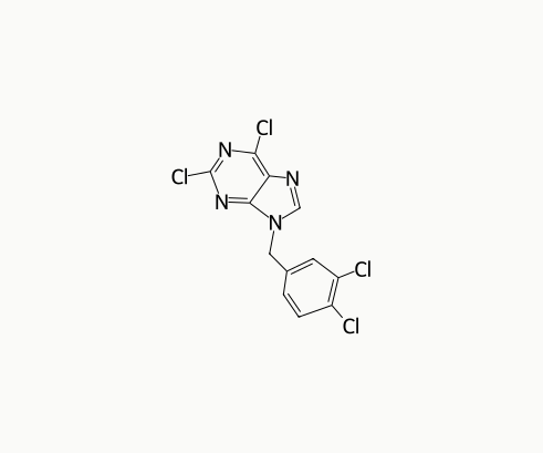 Clc1nc(Cl)c2ncn(Cc3ccc(Cl)c(Cl)c3)c2n1